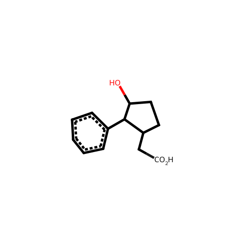 O=C(O)CC1CCC(O)C1c1ccccc1